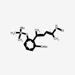 CCN/C(C)=C/C=C(\C)c1c(OC)cccc1O[Si](C)(C)C(C)(C)C